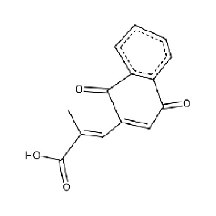 CC(=CC1=CC(=O)c2ccccc2C1=O)C(=O)O